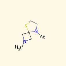 CC(=O)N1CCSC12CN(C)C2